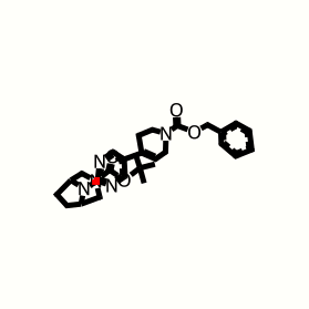 CC(C)(C)OC(=O)N1CC2CCC(C1)N2c1ncc(C2=CCN(C(=O)OCc3ccccc3)CC2)cn1